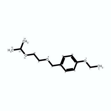 CCOc1ccc(COCCOC(C)C)cc1